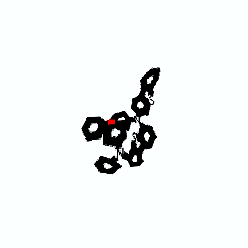 c1ccc(-c2ccc(N(c3ccc4c(c3)sc3ccccc34)c3cccc4c3sc3c(N(c5ccccc5)c5ccccc5)cccc34)cc2)cc1